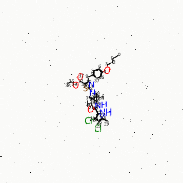 CCCCOc1ccc(Cc2nc(N3C[C@@H]4[C@H](C3)[C@@H]4NC(=O)c3[nH]c(C)c(Cl)c3Cl)sc2C(=O)OCC)cc1